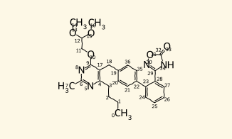 CCCCc1nc(C)nc(OCC(OC)OC)c1Cc1ccc(-c2ccccc2-c2noc(=O)[nH]2)cc1